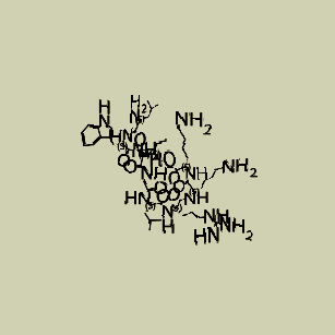 CC[C@H](C)[C@H](NC(=O)[C@H](Cc1c[nH]c2ccccc12)NC(=O)[C@@H](N)CC(C)C)C(=O)NCC(=O)N[C@@H](CC(C)C)C(=O)N[C@@H](CCCNC(=N)N)C(=O)N[C@@H](CCCCN)C(=O)N[C@@H](CCCCN)C(=O)O